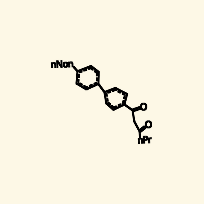 CCCCCCCCCc1ccc(-c2ccc(C(=O)CC(=O)CCC)cc2)cc1